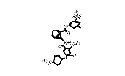 COc1cc(F)c(OC2CCC(C(=O)O)CC2)cc1C(=O)NC1C2CCC(C2)C1C(=O)Nc1cc(F)cc(S(F)(F)(F)(F)F)c1